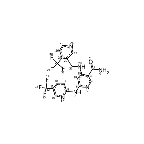 NC(=O)c1cnc(Nc2ccc(C(F)(F)F)cn2)cc1NCc1cnccc1C(F)(F)F